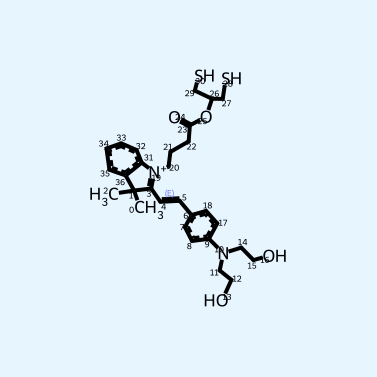 CC1(C)C(/C=C/c2ccc(N(CCO)CCO)cc2)=[N+](CCCC(=O)OC(CS)CS)c2ccccc21